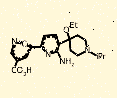 CCOC1(c2ccc(-c3cncc(C(=O)O)c3)nc2N)CCN(C(C)C)CC1